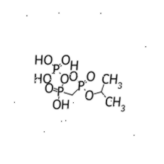 CC(C)OP(=O)(O)CP(=O)(O)OP(=O)(O)O